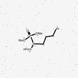 CCCCCN(CCCC(C)C)P(=O)(OC)OC